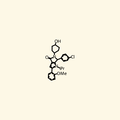 COc1ccccc1-c1cc2c(n1C(C)C)C(c1ccc(Cl)cc1)N(C1CCC(O)CC1)C2=O